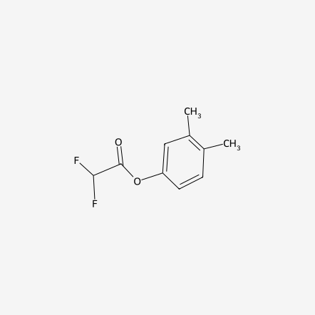 Cc1ccc(OC(=O)C(F)F)cc1C